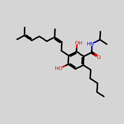 CCCCCc1cc(O)c(CC=C(C)CCC=C(C)C)c(O)c1C(=O)NC(C)C